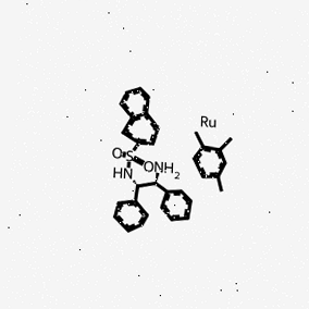 Cc1ccc(C)c(C)c1.N[C@@H](c1ccccc1)[C@@H](NS(=O)(=O)c1ccc2ccccc2c1)c1ccccc1.[Ru]